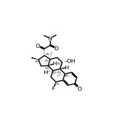 C[C@@H]1C[C@H]2[C@@H]3C[C@H](F)C4=CC(=O)C=C[C@]4(C)[C@H]3[C@@H](O)C[C@]2(C)[C@H]1C(=O)C(=O)N(C)C